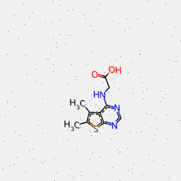 Cc1sc2ncnc(NCC(=O)O)c2c1C